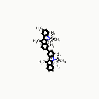 Cc1ccc2c(c1)C1C(C)c3ccc(-c4ccc5c(c4)C4C(C)c6ccccc6C4N5[Si](C)(C)C)cc3C1N2[Si](C)(C)C